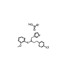 COc1ccccc1SC(CCc1ccc(Cl)cc1)Cn1ccnc1.O=[N+]([O-])O